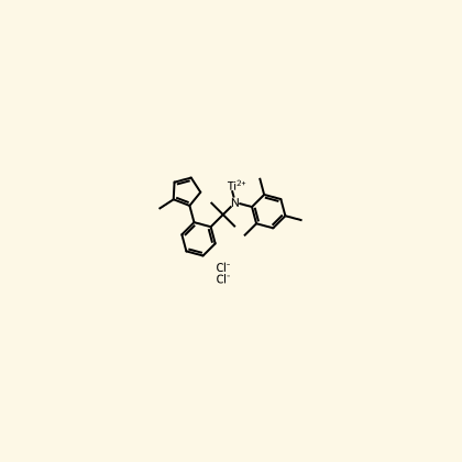 CC1=C(c2ccccc2C(C)(C)[N]([Ti+2])c2c(C)cc(C)cc2C)CC=C1.[Cl-].[Cl-]